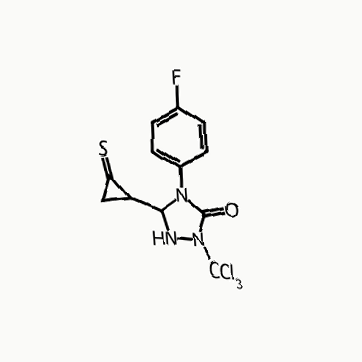 O=C1N(c2ccc(F)cc2)C(C2CC2=S)NN1C(Cl)(Cl)Cl